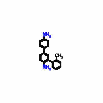 Cc1ccccc1-c1cc(-c2ccc(N)cc2)ccc1N